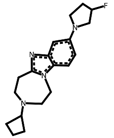 FC1CCN(c2ccc3c(c2)nc2n3CCN(C3CCC3)CC2)C1